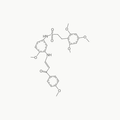 COc1ccc(C(=O)/C=C/Nc2cc(NS(=O)(=O)CCc3c(OC)cc(OC)cc3OC)ccc2OC)cc1